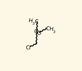 CCCCCCOC(CCCCC/C=C\CCCCl)OCCCCCC